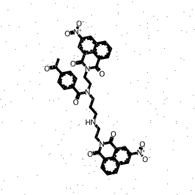 CC(=O)c1ccc(C(=O)N(CCCNCCN2C(=O)c3cccc4cc([N+](=O)[O-])cc(c34)C2=O)CCN2C(=O)c3cccc4cc([N+](=O)[O-])cc(c34)C2=O)cc1